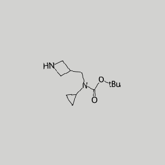 CC(C)(C)OC(=O)N(CC1CNC1)C1CC1